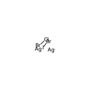 BrI.ClBr.[Ag].[Ag]